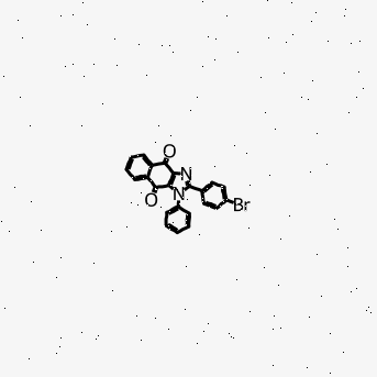 O=C1c2ccccc2C(=O)c2c1nc(-c1ccc(Br)cc1)n2-c1ccccc1